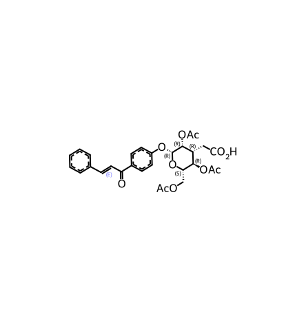 CC(=O)OC[C@@H]1O[C@H](Oc2ccc(C(=O)/C=C/c3ccccc3)cc2)[C@H](OC(C)=O)[C@H](CC(=O)O)[C@H]1OC(C)=O